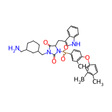 Bc1cc(Oc2ccc(S(=O)(=O)N3C(=O)N(CC4CCCC(CN)C4)C(=O)C3Cc3c[nH]c4ccccc34)cc2C)ccc1C